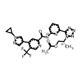 CC(=O)OC[C@@H](C)n1nnnc1-c1cccc(NC(=O)c2cc(-c3cnn(C4CC4)c3)c(C(F)(F)F)cn2)n1